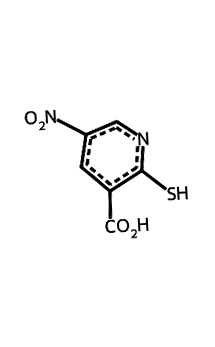 O=C(O)c1cc([N+](=O)[O-])cnc1S